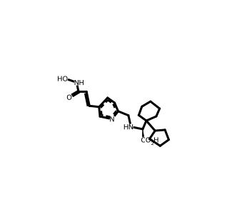 O=C(C=Cc1ccc(CN[C@H](C(=O)O)C2(C3CCCC3)CCCCC2)nc1)NO